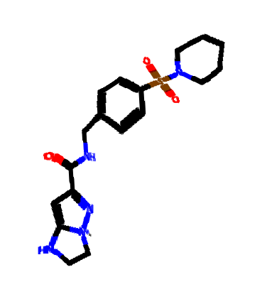 O=C(NCc1ccc(S(=O)(=O)N2CCCCC2)cc1)C1=N[N+]2CCNC2=C1